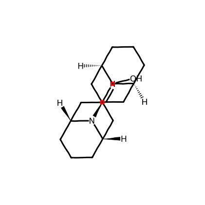 O/N=C1/C[C@H]2CCC[C@@H](C1)N2[C@@H]1C[C@@H]2CCC[C@@H](C2)C1